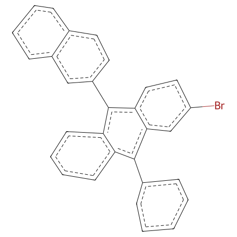 Brc1ccc2c(-c3ccc4ccccc4c3)c3ccccc3c(-c3ccccc3)c2c1